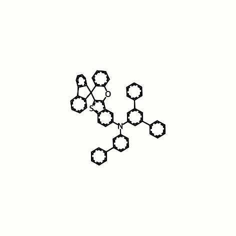 c1ccc(-c2cccc(N(c3cc(-c4ccccc4)cc(-c4ccccc4)c3)c3ccc4sc5c(c4c3)Oc3ccccc3C53c4ccccc4-c4ccccc43)c2)cc1